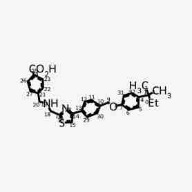 CCC(C)(C)c1ccc(OCc2ccc(-c3csc(CNCc4ccc(C(=O)O)cc4)n3)cc2)cc1